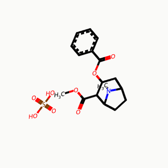 COC(=O)C1C(OC(=O)c2ccccc2)CC2CCC1N2C.O=S(=O)(O)O